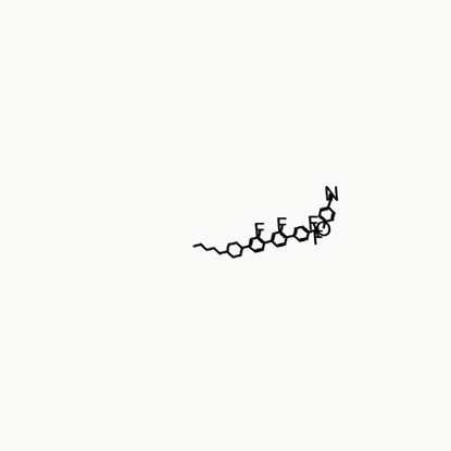 CCCCCC1CCC(c2ccc(-c3ccc(-c4ccc(C(F)(F)Oc5ccc(C#N)cc5)cc4)c(F)c3)c(F)c2)CC1